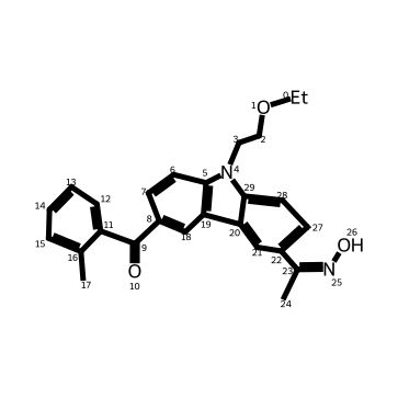 CCOCCn1c2ccc(C(=O)c3ccccc3C)cc2c2cc(/C(C)=N\O)ccc21